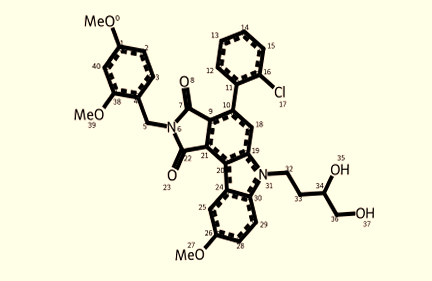 COc1ccc(CN2C(=O)c3c(-c4ccccc4Cl)cc4c(c3C2=O)c2cc(OC)ccc2n4CCC(O)CO)c(OC)c1